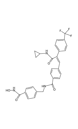 O=C(NC1CC1)/C(=C\c1ccc(C(=O)NCc2ccc(C(=O)NO)cc2)cc1)c1ccc(C(F)(F)F)cc1